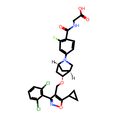 O=C(O)CNC(=O)c1ccc(N2C[C@@H]3C[C@H]2C[C@H]3OCc2c(-c3c(Cl)cccc3Cl)noc2C2CC2)cc1F